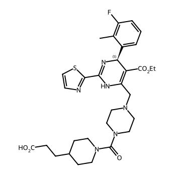 CCOC(=O)C1=C(CN2CCN(C(=O)N3CCC(CCC(=O)O)CC3)CC2)NC(c2nccs2)=N[C@H]1c1cccc(F)c1C